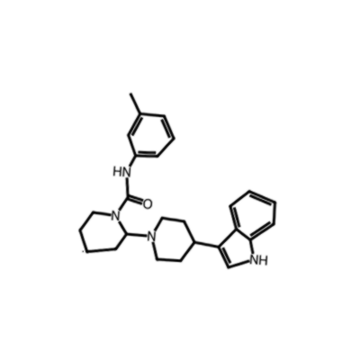 Cc1cccc(NC(=O)N2CC[CH]CC2N2CCC(c3c[nH]c4ccccc34)CC2)c1